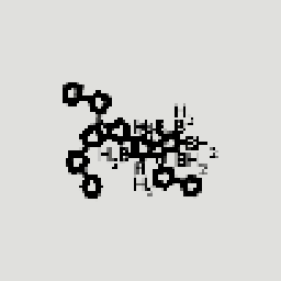 Bc1c(B)c(B)c2c(c1B)c1c(B)c(-c3ccc4c(c3)c3cc(-c5cccc(-c6ccccc6)c5)ccc3n4-c3cccc(-c4ccccc4)c3)c(B)c(B)c1n2-c1cccc(-c2ccccc2)c1